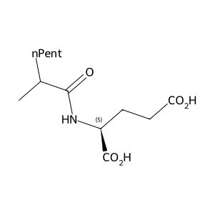 CCCCCC(C)C(=O)N[C@@H](CCC(=O)O)C(=O)O